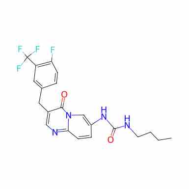 CCCCNC(=O)Nc1ccc2ncc(Cc3ccc(F)c(C(F)(F)F)c3)c(=O)n2c1